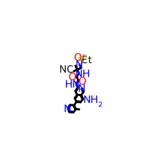 CC[S+]([O-])N1CC(CC#N)(NC(=O)C(=O)Nc2cc3cc(-c4cnccc4C)cc(N)c3cn2)C1